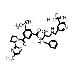 Cc1csc([C@H]2CCCN2C(=O)c2cc(C(=O)N[C@@H](Cc3ccccc3)[C@@H](O)CNCc3cncc(C(C)(C)F)c3)cc(N(C)C)c2)n1